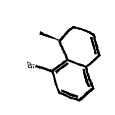 C[C@H]1CC=Cc2cccc(Br)c21